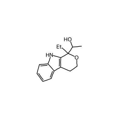 CCC1(C(C)O)OCCc2c1[nH]c1ccccc21